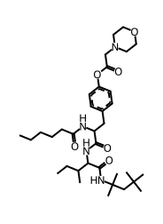 CCCCCC(=O)NC(Cc1ccc(OC(=O)CN2CCOCC2)cc1)C(=O)NC(C(=O)NC(C)(C)CC(C)(C)C)C(C)CC